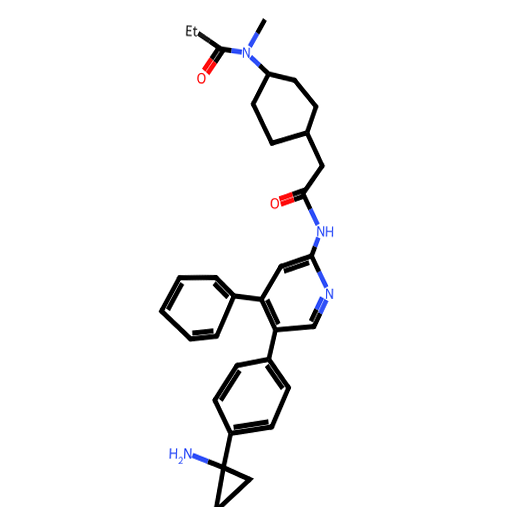 CCC(=O)N(C)C1CCC(CC(=O)Nc2cc(-c3ccccc3)c(-c3ccc(C4(N)CC4)cc3)cn2)CC1